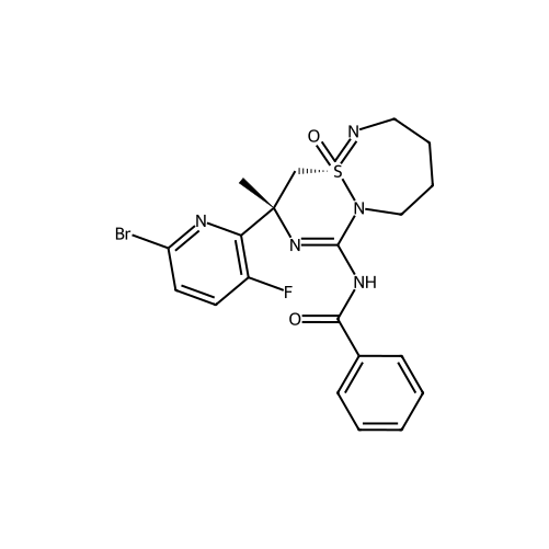 C[C@@]1(c2nc(Br)ccc2F)C[S@]2(=O)=NCCCCN2C(NC(=O)c2ccccc2)=N1